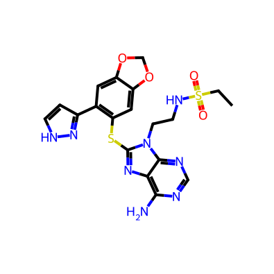 CCS(=O)(=O)NCCn1c(Sc2cc3c(cc2-c2cc[nH]n2)OCO3)nc2c(N)ncnc21